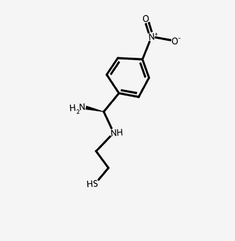 N[C@H](NCCS)c1ccc([N+](=O)[O-])cc1